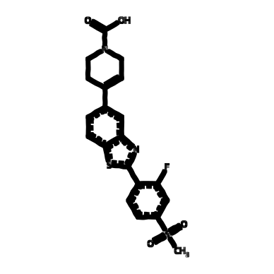 CS(=O)(=O)c1ccc(-c2nc3cc(C4=CCN(C(=O)O)CC4)ccc3s2)c(F)c1